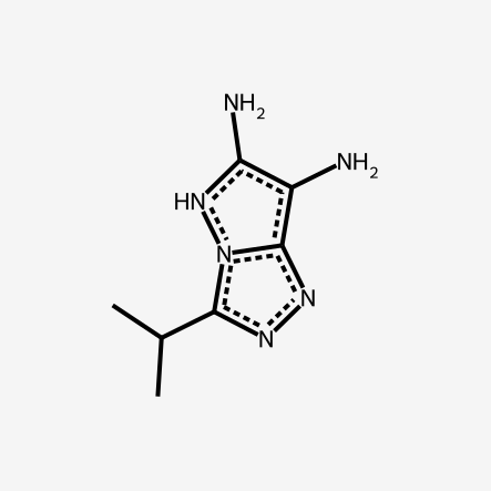 CC(C)c1nnc2c(N)c(N)[nH]n12